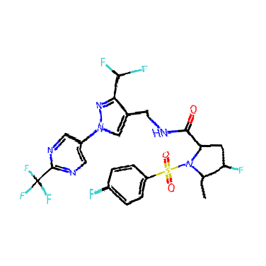 CC1C(F)CC(C(=O)NCc2cn(-c3cnc(C(F)(F)F)nc3)nc2C(F)F)N1S(=O)(=O)c1ccc(F)cc1